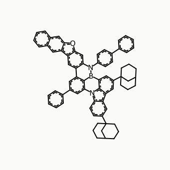 c1ccc(-c2ccc(N3B4c5c(cc(-c6ccccc6)cc5-n5c6ccc(C78CCCC(CCC7)C8)cc6c6cc(C78CCCC(CCC7)C8)cc4c65)-c4cc5c(cc43)oc3cc4ccccc4cc35)cc2)cc1